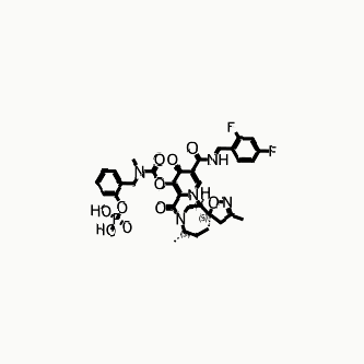 CC1=NO[C@@]2(CC[C@H](C)N3C[C@H]2n2cc(C(=O)NCc4ccc(F)cc4F)c(=O)c(OC(=O)N(C)Cc4ccccc4OP(=O)(O)O)c2C3=O)C1